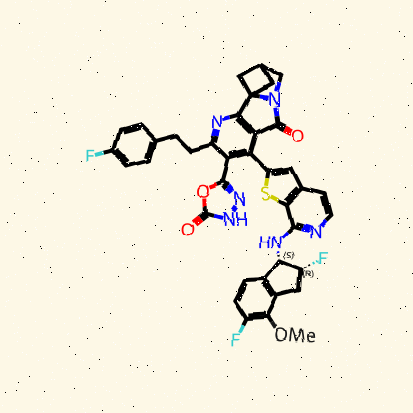 COc1c(F)ccc2c1C[C@@H](F)[C@H]2Nc1nccc2cc(-c3c4c(nc(CCc5ccc(F)cc5)c3-c3n[nH]c(=O)o3)C35CC(CN3C4=O)C5)sc12